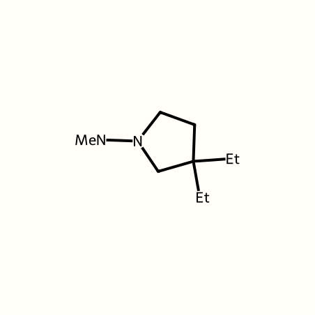 CCC1(CC)CCN(NC)C1